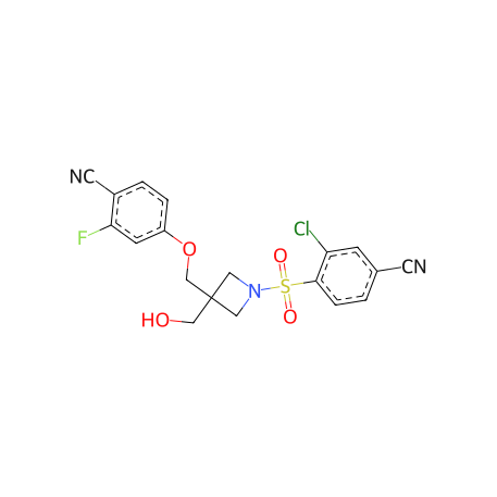 N#Cc1ccc(S(=O)(=O)N2CC(CO)(COc3ccc(C#N)c(F)c3)C2)c(Cl)c1